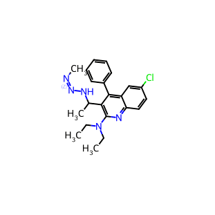 CCN(CC)c1nc2ccc(Cl)cc2c(-c2ccccc2)c1C(C)N/N=N\C